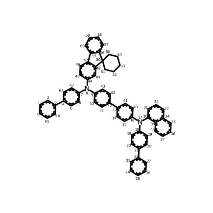 c1ccc(-c2ccc(N(c3ccc(-c4ccc(N(c5ccc(-c6ccccc6)cc5)c5cccc6ccccc56)cc4)cc3)c3ccc4c(c3)C3(CCCCC3)c3ccccc3-4)cc2)cc1